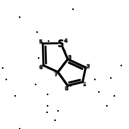 [C]1=CC=C2SC=CC12